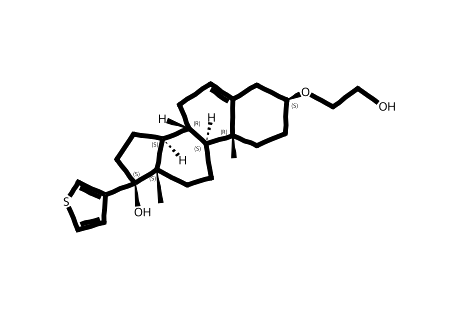 C[C@]12CC[C@H](OCCO)CC1=CC[C@@H]1[C@@H]2CC[C@@]2(C)[C@H]1CC[C@@]2(O)c1ccsc1